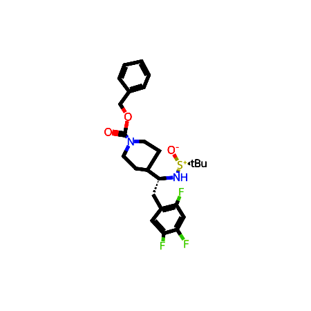 CC(C)(C)[S@+]([O-])N[C@H](Cc1cc(F)c(F)cc1F)C1CCN(C(=O)OCc2ccccc2)CC1